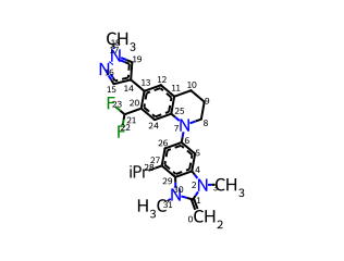 C=C1N(C)c2cc(N3CCCc4cc(-c5cnn(C)c5)c(C(F)F)cc43)cc(C(C)C)c2N1C